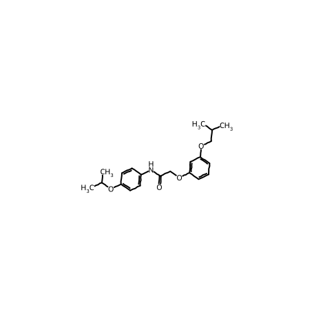 CC(C)COc1cccc(OCC(=O)Nc2ccc(OC(C)C)cc2)c1